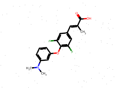 C/C(=C\c1cc(F)c(Oc2cccc(N(C)C)c2)c(F)c1)C(=O)O